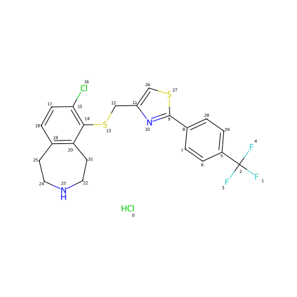 Cl.FC(F)(F)c1ccc(-c2nc(CSc3c(Cl)ccc4c3CCNCC4)cs2)cc1